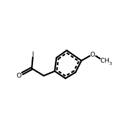 COc1ccc(CC(=O)I)cc1